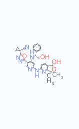 CC1(C)OC(O)c2ccc(Nc3cc(N[C@H](CO)c4ccccc4)c(-c4nnc(C5(C#N)CC5)o4)cn3)nc21